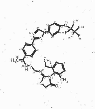 CCc1cccc(C)c1N1C(=O)CS/C1=N\CNNC(C)c1ccc(-c2ncn(-c3ccc(OC(F)(F)C(F)(F)F)cc3)n2)cc1